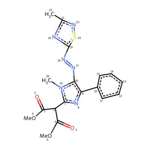 COC(=O)C(C(=O)OC)c1nc(-c2ccccc2)c(/N=N/c2nc(C)ns2)n1C